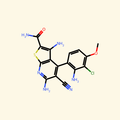 COc1ccc(-c2c(C#N)c(N)nc3sc(C(N)=O)c(N)c23)c(N)c1Cl